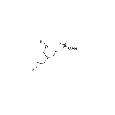 CCOCN(CCC[Si](C)(C)OC)COCC